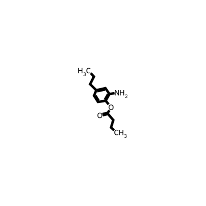 CCCC(=O)Oc1ccc(CCC)cc1N